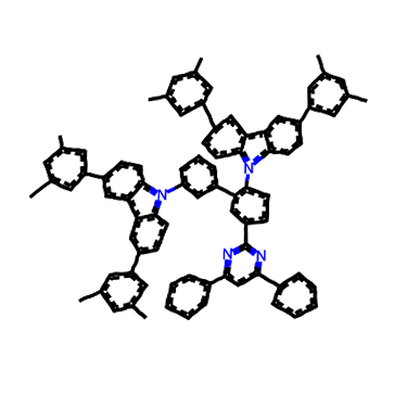 Cc1cc(C)cc(-c2ccc3c(c2)c2cc(-c4cc(C)cc(C)c4)ccc2n3-c2cccc(-c3cc(-c4nc(-c5ccccc5)cc(-c5ccccc5)n4)ccc3-n3c4ccc(-c5cc(C)cc(C)c5)cc4c4cc(-c5cc(C)cc(C)c5)ccc43)c2)c1